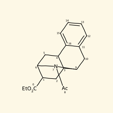 CCOC(=O)C1CC2C3CC1N(C(C)=O)C2Cc1ccccc13